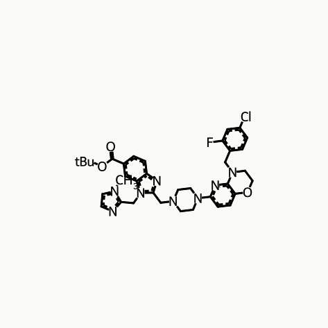 Cn1ccnc1Cn1c(CN2CCN(c3ccc4c(n3)N(Cc3ccc(Cl)cc3F)CCO4)CC2)nc2ccc(C(=O)OC(C)(C)C)cc21